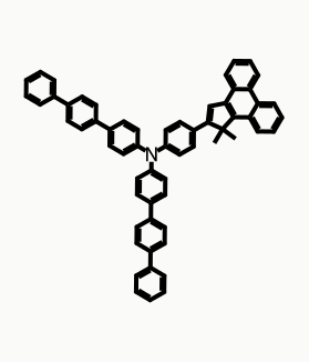 CC1(C)C(c2ccc(N(c3ccc(-c4ccc(-c5ccccc5)cc4)cc3)c3ccc(-c4ccc(-c5ccccc5)cc4)cc3)cc2)=Cc2c1c1ccccc1c1ccccc21